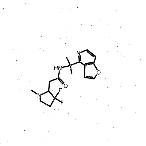 CN1CCC(F)(F)C1CC(=O)NC(C)(C)c1nccc2occc12